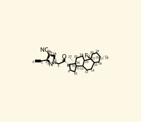 C#Cc1nn(CC(=O)[C@H]2CCC3C4CCC5C[C@@H](C)CCC5(F)C4CC[C@@]32C)cc1C#N